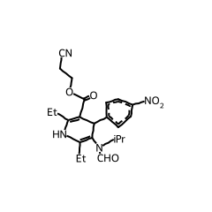 CCC1=C(C(=O)OCCC#N)C(c2ccc([N+](=O)[O-])cc2)C(N(C=O)C(C)C)=C(CC)N1